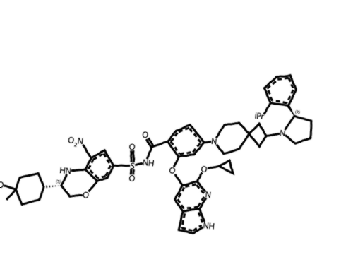 CC(C)c1ccccc1[C@H]1CCCN1C1CC2(CCN(c3ccc(C(=O)NS(=O)(=O)c4cc5c(c([N+](=O)[O-])c4)N[C@@H](C4CCC(C)(O)CC4)CO5)c(Oc4cc5cc[nH]c5nc4OC4CC4)c3)CC2)C1